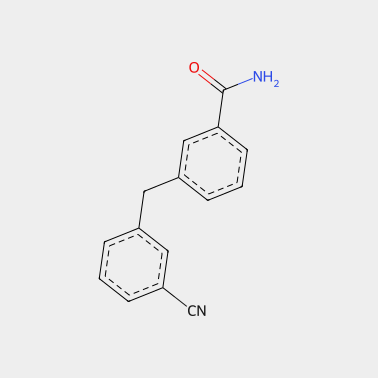 N#Cc1cccc(Cc2cccc(C(N)=O)c2)c1